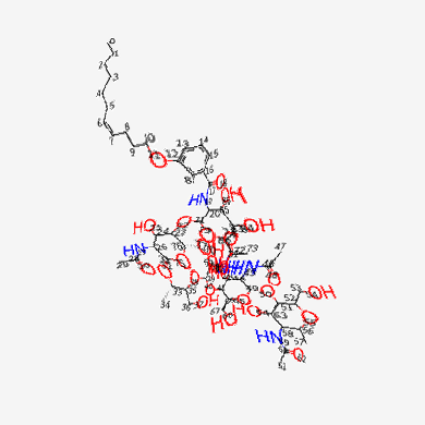 CCCCCC/C=C\CCCOc1cccc(C(=O)NC2C(OC3C(O)C(NC(C)=O)[C@H](O[C@@H](C)C(CO)OC(OC4C(O)C(NC(C)=O)[C@H](OC5C(CO)OC(C)C(NC(C)=O)C5O)O[C@H]4CO)[C@H](O)NC(C)=O)O[C@H]3CO)OC(CO)C(O)C2O)c1